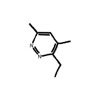 CCc1nnc(C)cc1C